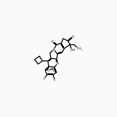 CCC1(O)C(=O)Cc2c1cc1n(c2=O)Cc2c-1nc1c3c(F)c(F)c(c1c2C1CCC1)OCO3